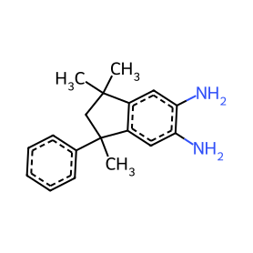 CC1(C)CC(C)(c2ccccc2)c2cc(N)c(N)cc21